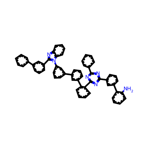 Nc1ccccc1-c1cccc(-c2nc(-c3ccccc3)nc(-c3ccccc3-c3cccc(-c4cccc(-n5c(-c6cccc(-c7ccccc7)c6)nc6ccccc65)c4)c3)n2)c1